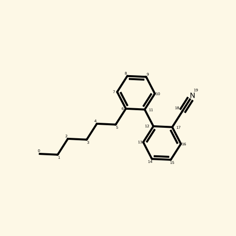 CCCCCCc1ccccc1-c1ccccc1C#N